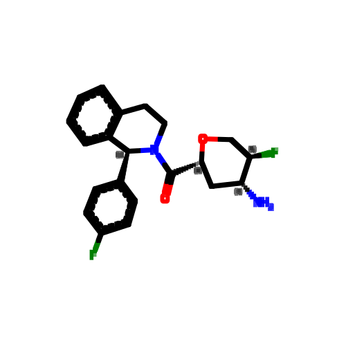 N[C@@H]1C[C@H](C(=O)N2CCc3ccccc3[C@@H]2c2ccc(F)cc2)OC[C@H]1F